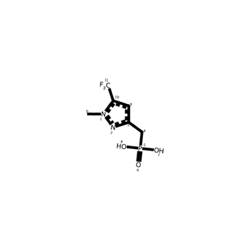 Cn1nc(CP(=O)(O)O)cc1C(F)(F)F